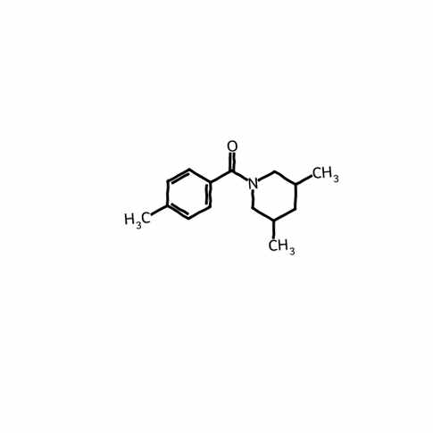 Cc1ccc(C(=O)N2CC(C)CC(C)C2)cc1